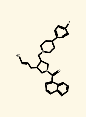 O=C(c1cccc2ccccc12)N1CC(CC=CO)C(CN2CCC(c3ccc(F)cc3)CC2)C1